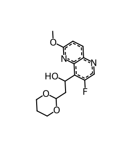 COc1ccc2ncc(F)c(C(O)CC3OCCCO3)c2n1